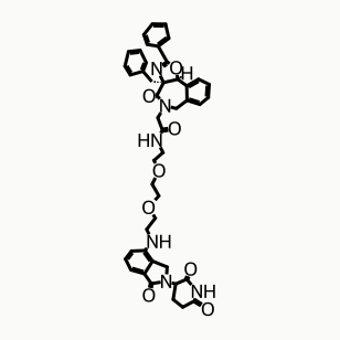 O=C(CN1Cc2ccccc2[C@@H]2OC(c3ccccc3)=N[C@]2(Cc2ccccc2)C1=O)NCCOCCOCCNc1cccc2c1CN(C1CCC(=O)NC1=O)C2=O